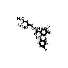 CC(C)CC(O)CONC(=O)c1cc(Br)c(F)cc1Nc1ccc(I)cc1F